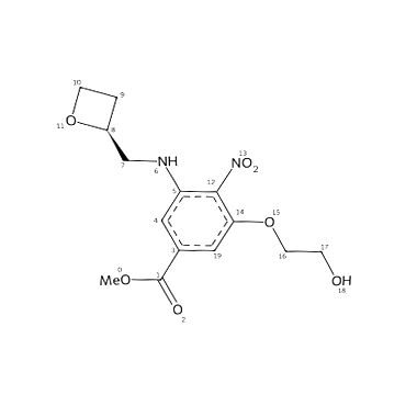 COC(=O)c1cc(NC[C@@H]2CCO2)c([N+](=O)[O-])c(OCCO)c1